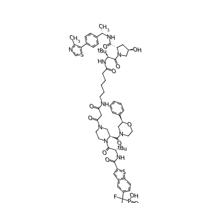 Cc1ncsc1-c1ccc([C@H](C)NC(=O)[C@@H]2C[C@@H](O)CN2C(=O)[C@@H](NC(=O)CCCCCNC(=O)CC(=O)N2CCN(C(=O)[C@@H](NC(=O)c3cc4cc(C(F)(F)P(=O)(O)O)ccc4s3)C(C)(C)C)[C@H](C(=O)N3CCO[C@H](c4ccccc4)C3)C2)C(C)(C)C)cc1